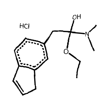 CCOC(O)(Cc1ccc2c(c1)CC=C2)N(C)C.Cl